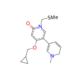 CSCn1cc(C2=CN(C)CC=C2)c(OCC2CC2)cc1=O